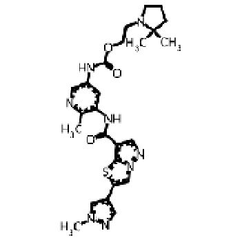 Cc1ncc(NC(=O)OCCN2CCCC2(C)C)cc1NC(=O)c1cnn2cc(-c3cnn(C)c3)sc12